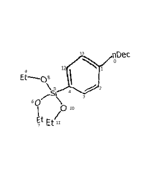 CCCCCCCCCCc1ccc([Si](OCC)(OCC)OCC)cc1